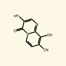 CCCc1cnc2c(O)c(C#N)ccn2c1=O